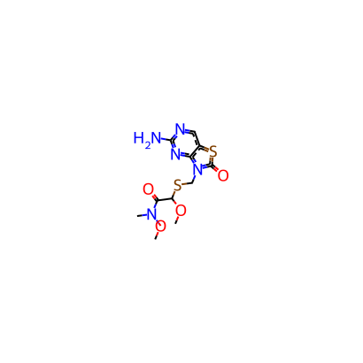 COC(SCn1c(=O)sc2cnc(N)nc21)C(=O)N(C)OC